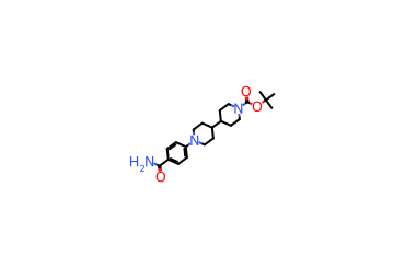 CC(C)(C)OC(=O)N1CCC(C2CCN(c3ccc(C(N)=O)cc3)CC2)CC1